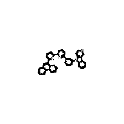 c1cc(-c2cccc(-c3cccc(-c4cc5ccccc5c5ccccc45)n3)n2)cc(-n2c3ccccc3c3cnccc32)c1